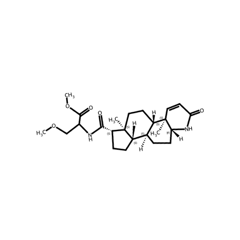 COCC(NC(=O)[C@H]1CC[C@H]2[C@@H]3CC[C@H]4NC(=O)C=C[C@]4(C)[C@H]3CC[C@]12C)C(=O)OC